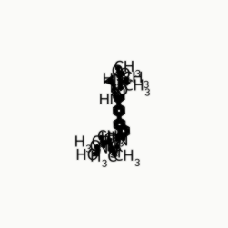 COC(=O)NC(C(=O)N(Cc1ncc(-c2ccc(-c3ccc4c(ccc5nc([C@@H]6C[Si](C)(C)CN6C(=O)C(NC(=O)CO)C(C)C)[nH]c54)c3)cc2)[nH]1)C1CC1)C(C)C